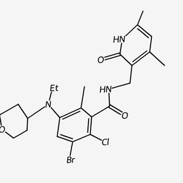 CCN(c1cc(Br)c(Cl)c(C(=O)NCc2c(C)cc(C)[nH]c2=O)c1C)C1CCOCC1